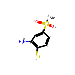 COS(=O)(=O)c1ccc(S)c(N)c1